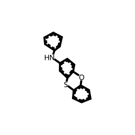 c1ccc(Nc2ccc3c(c2)Sc2ccccc2O3)cc1